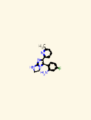 Cc1cccc(-c2nc3n(c2-c2ccc(F)cc2N)CCN3)n1